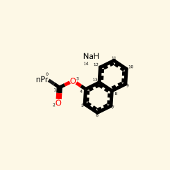 CCCC(=O)Oc1cccc2ccccc12.[NaH]